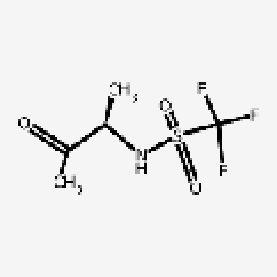 CC(=O)[C@@H](C)NS(=O)(=O)C(F)(F)F